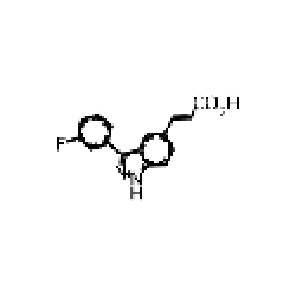 O=C(O)C=Cc1ccc2[nH]nc(-c3cccc(F)c3)c2c1